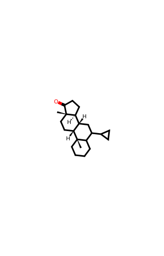 C[C@]12CCCCC1C(C1CC1)C[C@@H]1[C@H]2CC[C@]2(C)C(=O)CC[C@@H]12